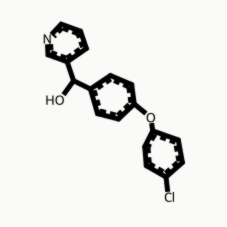 OC(c1ccc(Oc2ccc(Cl)cc2)cc1)c1cccnc1